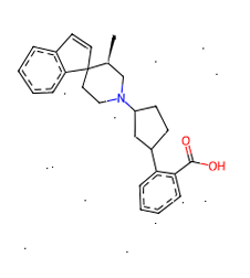 C[C@H]1CN(C2CCC(c3ccccc3C(=O)O)C2)CCC12C=Cc1ccccc12